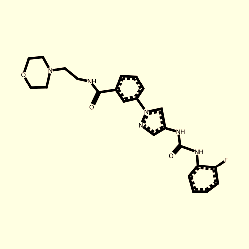 O=C(Nc1cnn(-c2cccc(C(=O)NCCN3CCOCC3)c2)c1)Nc1ccccc1F